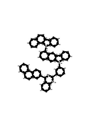 c1cc(-c2nc(-c3ccc4c(ccc5ccccc54)c3)c3ccccc3n2)cc(-n2c3ccccc3c3cc4c(-n5c6ccccc6c6ccc7ccccc7c65)cccc4cc32)c1